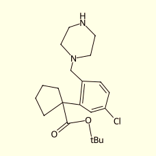 CC(C)(C)OC(=O)C1(c2cc(Cl)ccc2CN2CCNCC2)CCCC1